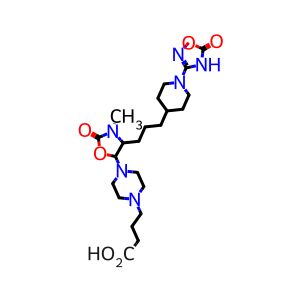 CN1C(=O)OC(N2CCN(CCCC(=O)O)CC2)C1CCCC1CCN(c2noc(=O)[nH]2)CC1